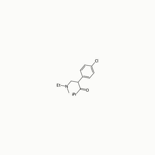 CCN(C)CC(C(=O)C(C)C)c1ccc(Cl)cc1